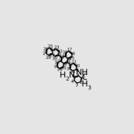 CC1CCCC(N)=C1NC1C=CC(c2c3ccccc3c(-c3ccc4ccccc4c3)c3ccccc23)=CC1